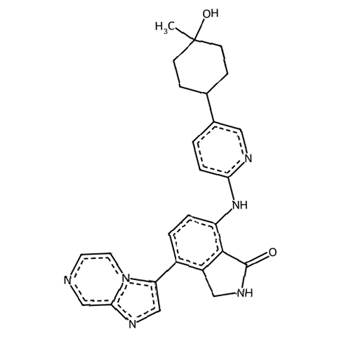 CC1(O)CCC(c2ccc(Nc3ccc(-c4cnc5cnccn45)c4c3C(=O)NC4)nc2)CC1